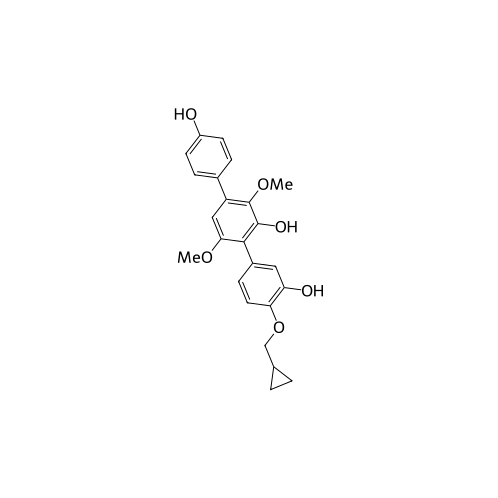 COc1cc(-c2ccc(O)cc2)c(OC)c(O)c1-c1ccc(OCC2CC2)c(O)c1